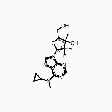 CN(c1ncnc2c1ncn2[C@H]1O[C@H](CO)[C@](C)(O)[C@@]1(C)F)C1CC1